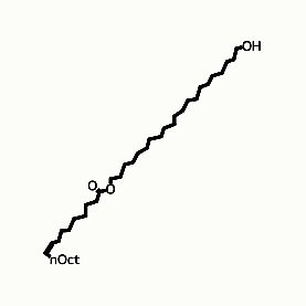 CCCCCCCC/C=C\CCCCCCCC(=O)OCCCCCCCCCCCCCCCCCCCCCO